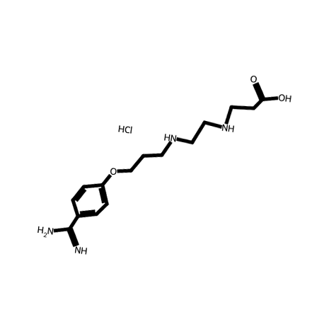 Cl.N=C(N)c1ccc(OCCCNCCNCCC(=O)O)cc1